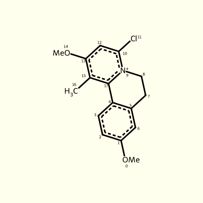 COc1ccc2c(c1)CC[n+]1c(Cl)cc(OC)c(C)c1-2